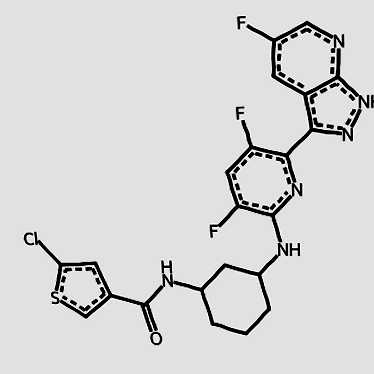 O=C(NC1CCCC(Nc2nc(-c3n[nH]c4ncc(F)cc34)c(F)cc2F)C1)c1csc(Cl)c1